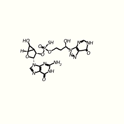 Nc1nc2c(ncn2[C@@H]2O[C@@H]3C(O)C3[C@H]2OP(=O)(S)OCC[C@@H](O)n2nnc3c(=O)[nH]cnc32)c(=O)[nH]1